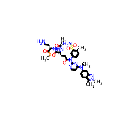 CPC(=O)[C@H](CCN)NC(=O)[C@H](CCC(=O)N(c1ccc(C)c(S(N)(=O)=O)c1)c1nccc(N(C)c2ccc3c(C)n(C)nc3c2)n1)NC(C)=O